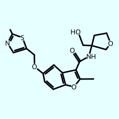 Cc1ncc(COc2ccc3oc(C)c(C(=O)NC4(CO)CCOC4)c3c2)s1